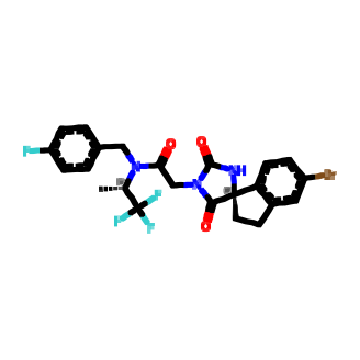 C[C@H](N(Cc1ccc(F)cc1)C(=O)CN1C(=O)N[C@@]2(CCc3cc(Br)ccc32)C1=O)C(F)(F)F